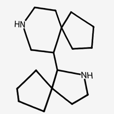 C1CCC2(C1)CCNCC2C1NCCC12CCCC2